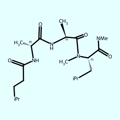 CNC(=O)[C@H](CC(C)C)N(C)C(=O)[C@H](C)NC(=O)[C@@H](C)NC(=O)CCC(C)C